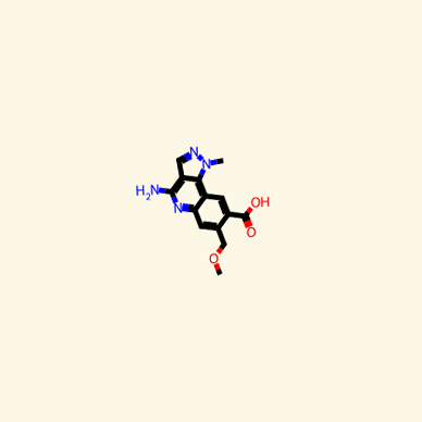 COCc1cc2nc(N)c3cnn(C)c3c2cc1C(=O)O